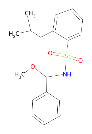 COC(NS(=O)(=O)c1ccccc1CC(C)C)c1ccccc1